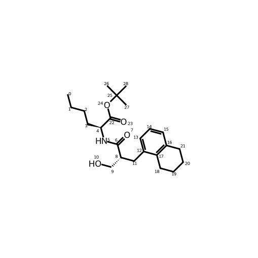 CCCC[C@H](NC(=O)[C@@H](CO)Cc1cccc2c1CCCC2)C(=O)OC(C)(C)C